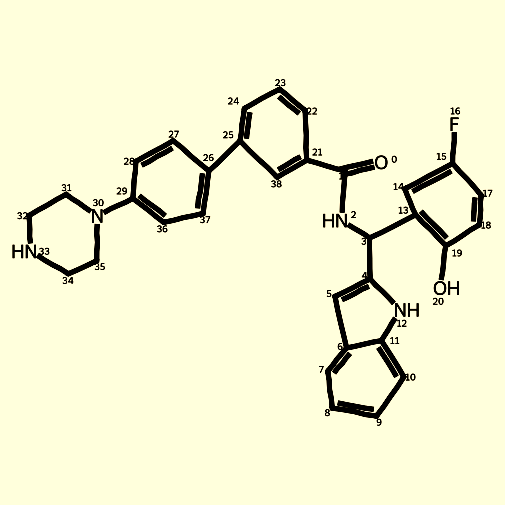 O=C(NC(c1cc2ccccc2[nH]1)c1cc(F)ccc1O)c1cccc(-c2ccc(N3CCNCC3)cc2)c1